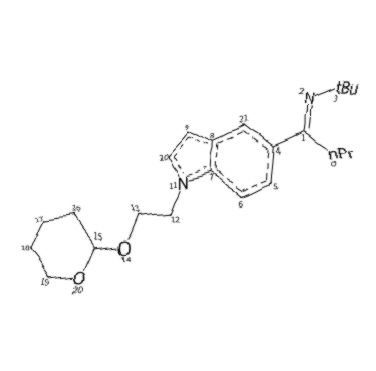 CCCC(=NC(C)(C)C)c1ccc2c(ccn2CCOC2CCCCO2)c1